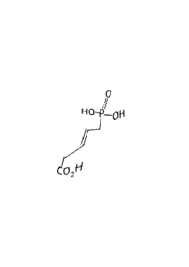 O=C(O)CC=CCP(=O)(O)O